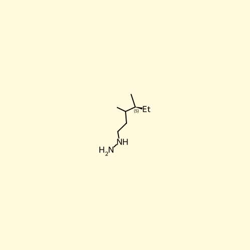 CC[C@H](C)C(C)CCNN